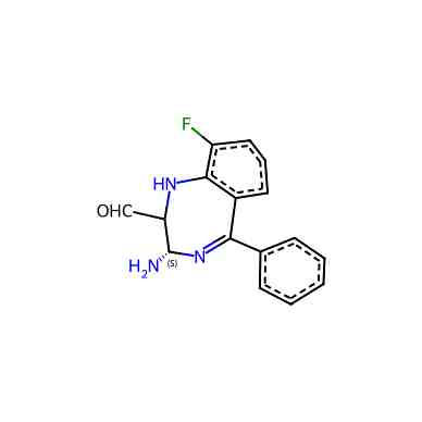 N[C@H]1N=C(c2ccccc2)c2cccc(F)c2NC1C=O